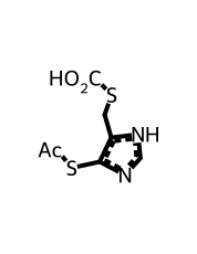 CC(=O)Sc1nc[nH]c1CSC(=O)O